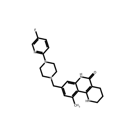 Cc1cc(CN2CCN(c3ccc(F)cn3)CC2)cc2[nH]c(=O)c3c(c12)NCCC3